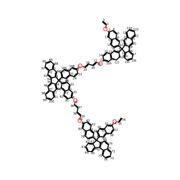 C=COc1ccc2cc(C3(C4=Cc5ccc(O/C=C/C=C/Oc6ccc7cc(C8(c9ccc%10cc(O/C=C/C=C/Oc%11ccc%12cc(C%13(c%14ccc%15cc(OC=C)ccc%15c%14)c%14ccccc%14-c%14c%13ccc%13ccccc%14%13)ccc%12c%11)ccc%10c9)c9cc%10ccccc%10cc9-c9cc%10ccccc%10cc98)ccc7c6)cc5CC4)c4ccccc4-c4cc5ccccc5cc43)ccc2c1